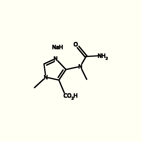 CN(C(N)=O)c1ncn(C)c1C(=O)O.[NaH]